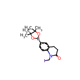 CC1(C)OB(c2ccc3c(c2)CCC(=O)N3CI)OC1(C)C